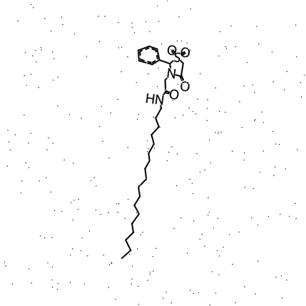 CCCCCCCCCCCCCCCCCCNC(=O)CN1C(=O)CS(=O)(=O)C1c1ccccc1